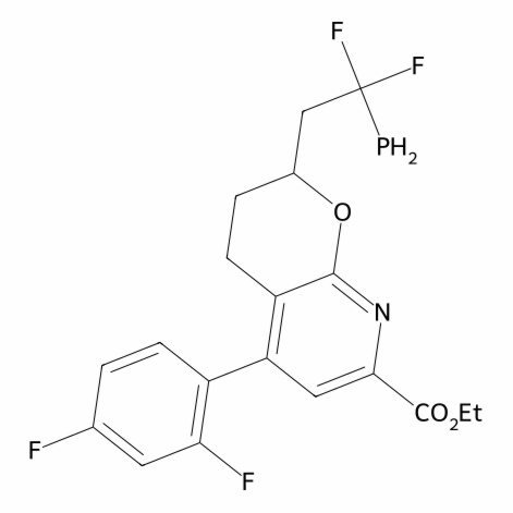 CCOC(=O)c1cc(-c2ccc(F)cc2F)c2c(n1)OC(CC(F)(F)P)CC2